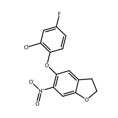 O=[N+]([O-])c1cc2c(cc1Oc1ccc(F)cc1Cl)CCO2